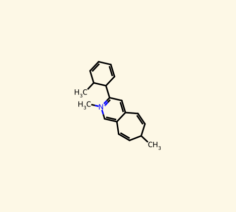 CC1C=Cc2cc(C3C=CC=CC3C)[n+](C)cc2C=C1